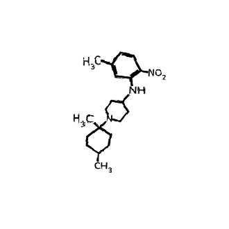 Cc1ccc([N+](=O)[O-])c(NC2CCN([C@]3(C)CC[C@@H](C)CC3)CC2)c1